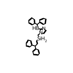 B(c1nccn1C[SiH2]C=CC(c1ccccc1)c1ccccc1)C(c1ccccc1)c1ccccc1